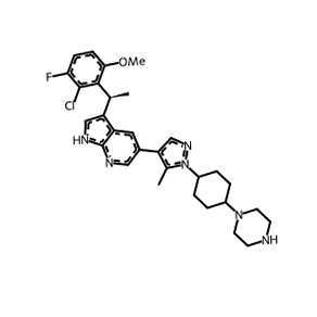 COc1ccc(F)c(Cl)c1[C@@H](C)c1c[nH]c2ncc(-c3cnn(C4CCC(N5CCNCC5)CC4)c3C)cc12